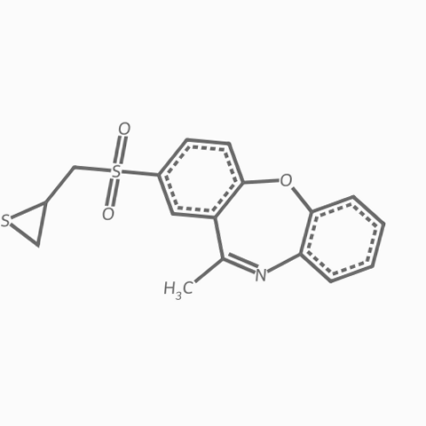 CC1=Nc2ccccc2Oc2ccc(S(=O)(=O)CC3CS3)cc21